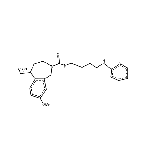 COc1ccc2c(c1)CN(C(=O)NCCCCNc1ccccn1)CCC2CC(=O)O